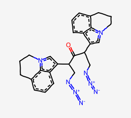 [N-]=[N+]=NCC(C(=O)C(CN=[N+]=[N-])c1cn2c3c(cccc13)CCC2)c1cn2c3c(cccc13)CCC2